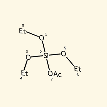 CCO[Si](OCC)(OCC)OC(C)=O